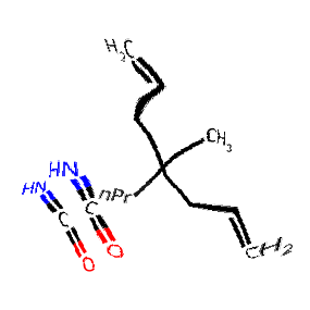 C=CCC(C)(CC=C)CCC.N=C=O.N=C=O